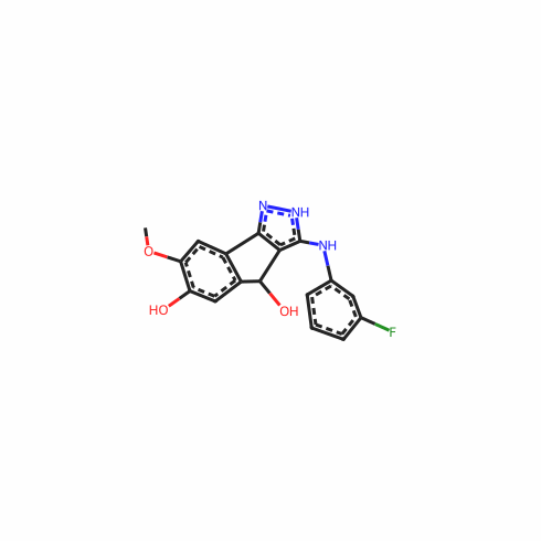 COc1cc2c(cc1O)C(O)c1c-2n[nH]c1Nc1cccc(F)c1